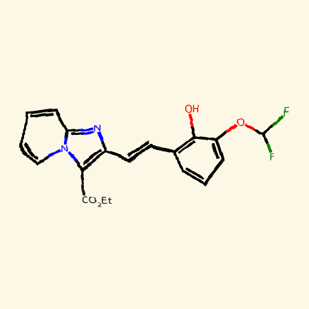 CCOC(=O)c1c(/C=C/c2cccc(OC(F)F)c2O)nc2ccccn12